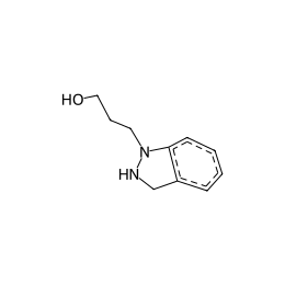 OCCCN1NCc2ccccc21